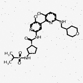 CC(C)S(=O)(=O)N[C@@H]1CC[C@H](C(=O)Nc2cc(-c3nc(NCC4CCOCC4)ccc3Cl)c(Cl)cn2)C1